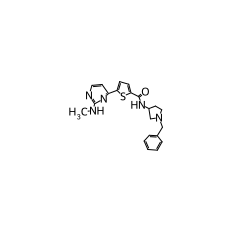 CNc1nccc(-c2ccc(C(=O)NC3CCN(Cc4ccccc4)C3)s2)n1